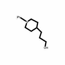 CC(C)N1CCC(CCCO)CC1